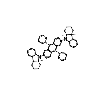 CC12CCCCC1(C)N(c1ccc3c(-c4ccccc4)c4cc(N5c6ccccc6C6(C)CCCCC56C)ccc4c(-c4ccccc4)c3c1)c1ccccc12